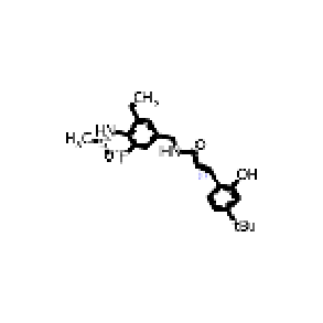 C=Cc1cc(CNC(=O)/C=C/c2ccc(C(C)(C)C)cc2O)cc(F)c1N[S+](C)[O-]